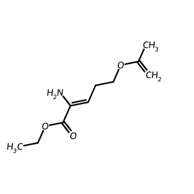 C=C(C)OCC/C=C(\N)C(=O)OCC